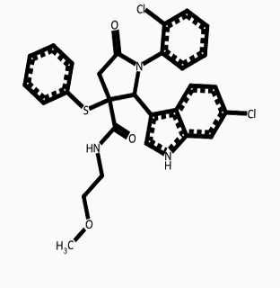 COCCNC(=O)C1(Sc2ccccc2)CC(=O)N(c2ccccc2Cl)C1c1c[nH]c2cc(Cl)ccc12